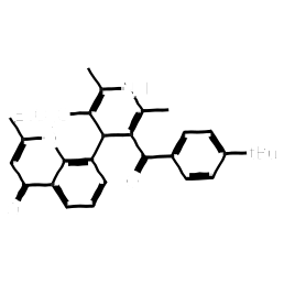 CCOC(=O)C1=C(C)NC(C)=C(C(=O)c2ccc(C(C)(C)C)cc2)C1c1cccc2c(=O)cc(C)oc12